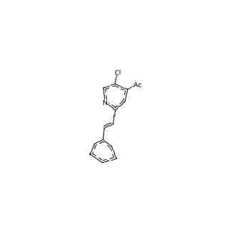 CC(=O)c1cc(C=Cc2ccccc2)ncc1Cl